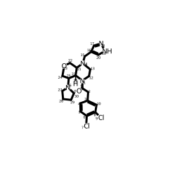 O=C(Cc1ccc(Cl)c(Cl)c1)N1CCN(Cc2cn[nH]c2)C2COCC(N3CCCC3)[C@H]21